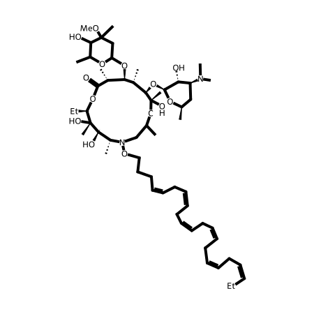 CC/C=C\C/C=C\C/C=C\C/C=C\C/C=C\C/C=C\CCCON1CC(C)C[C@@](C)(O)[C@H](O[C@@H]2O[C@H](C)C[C@H](N(C)C)[C@H]2O)[C@@H](C)[C@H](OC2CC(C)(OC)C(O)C(C)O2)[C@@H](C)C(=O)O[C@H](CC)[C@@](C)(O)[C@H](O)[C@H]1C